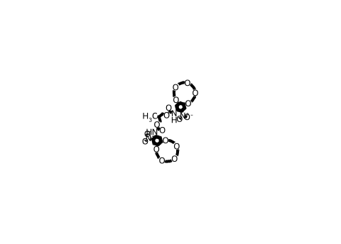 CC(COC(=O)Nc1cc2c(cc1[N+](=O)[O-])OCCOCCOCCOCCO2)COC(=O)Nc1cc2c(cc1[N+](=O)[O-])OCCOCCOCCOCCO2